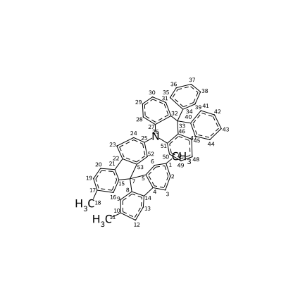 Cc1ccc2c(c1)C1(c3cc(C)ccc3-2)c2cc(C)ccc2-c2ccc(N3c4ccccc4C(c4ccccc4)(c4ccccc4)c4ccccc43)cc21